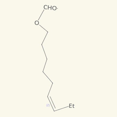 CC/C=C\CCCCCO[C]=O